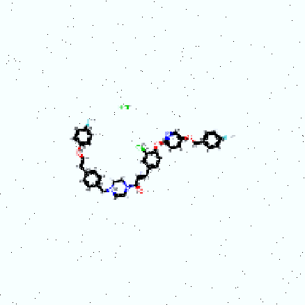 Cl.O=C(/C=C/c1ccc(Oc2ccc(OCc3ccc(F)cc3)cn2)c(Cl)c1)N1CCN(Cc2ccc(CCOc3ccc(F)cc3)cc2)CC1